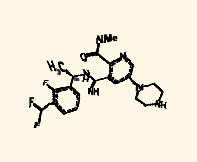 CNC(=O)c1ncc(N2CCNCC2)cc1C(=N)N[C@H](C)c1cccc(C(F)F)c1F